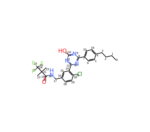 CCCCc1ccc(-c2nc(O)nc(-c3cc(CNC(=O)C(C)(C)C(F)(F)F)ccc3Cl)n2)cc1